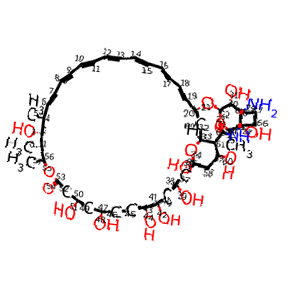 C[C@@H]1[C@H](O)[C@@H](C)/C=C/C=C/C=C/C=C/C=C/C=C/C=C/[C@H](O[C@@H]2O[C@H](C)[C@@H](O)[C@H](N)[C@H]2O)C[C@@H]2O[C@](O)(C[C@@H](O)C[C@@H](O)[C@H](O)CC[C@@H](O)C[C@@H](O)CC(=O)O[C@H]1C)C[C@H](O)C2C(=O)NC1CCC1